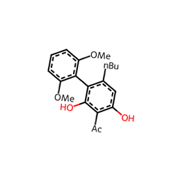 CCCCc1cc(O)c(C(C)=O)c(O)c1-c1c(OC)cccc1OC